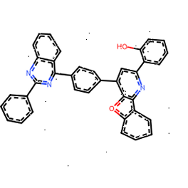 Oc1ccccc1-c1cc(-c2ccc(-c3nc(-c4ccccc4)nc4ccccc34)cc2)c2oc3ccccc3c2n1